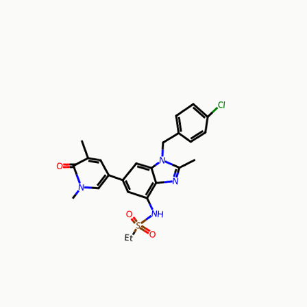 CCS(=O)(=O)Nc1cc(-c2cc(C)c(=O)n(C)c2)cc2c1nc(C)n2Cc1ccc(Cl)cc1